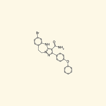 NC(=O)c1c(-c2ccc(Oc3ccccc3)cc2)nn2c1Nc1cc(Br)ccc1CC2